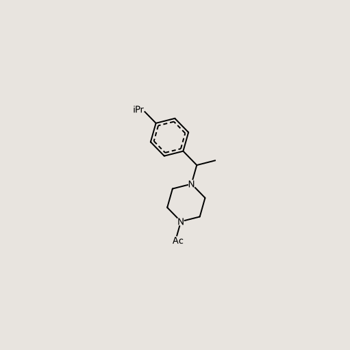 CC(=O)N1CCN(C(C)c2ccc(C(C)C)cc2)CC1